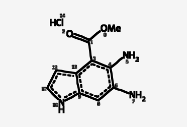 COC(=O)c1c(N)c(N)cc2[nH]ccc12.Cl